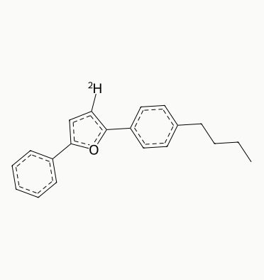 [2H]c1cc(-c2ccccc2)oc1-c1ccc(CCCC)cc1